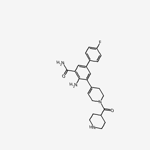 NC(=O)c1cc(-c2ccc(F)cc2)cc(C2=CCN(C(=O)C3CCNCC3)CC2)c1N